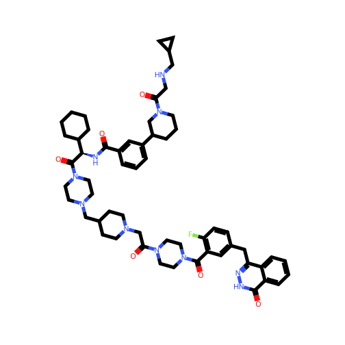 O=C(N[C@@H](C(=O)N1CCN(CC2CCN(CC(=O)N3CCN(C(=O)c4cc(Cc5n[nH]c(=O)c6ccccc56)ccc4F)CC3)CC2)CC1)C1CCCCC1)c1cccc(C2CCCN(C(=O)CNCC3CC3)C2)c1